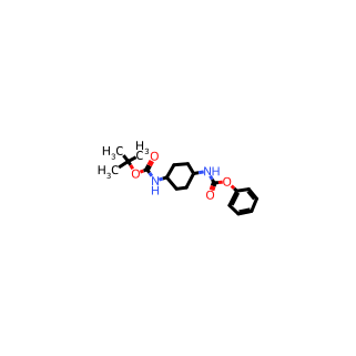 CC(C)(C)OC(=O)NC1CCC(NC(=O)Oc2ccccc2)CC1